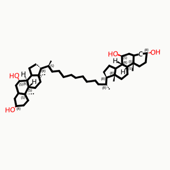 C[C@H](CCCCCCCCC[C@H](C)[C@H]1CCC2[C@@H]3[C@@H](O)CC4C[C@H](O)CC[C@]4(C)[C@H]3CC[C@@]21C)[C@H]1CCC2[C@@H]3[C@@H](O)CC4C[C@H](O)CC[C@]4(C)[C@H]3CC[C@@]21C